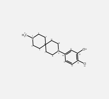 CN1CCC2(CC1)CCN(c1ccc(Cl)c(Cl)c1)CC2